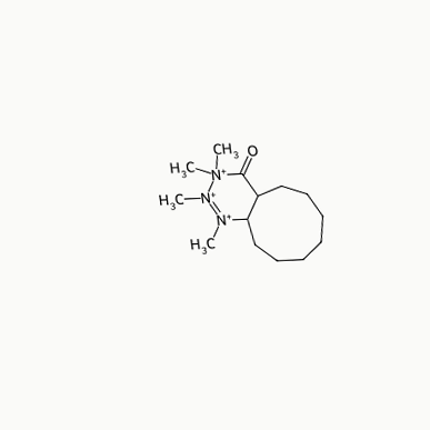 C[N+]1=[N+](C)[N+](C)(C)C(=O)C2CCCCCCCC21